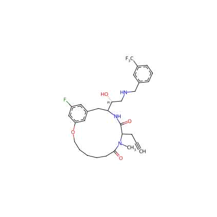 C#CCC1C(=O)NC([C@H](O)CNCc2cccc(C(F)(F)F)c2)Cc2cc(F)cc(c2)OCCCCCC(=O)N1C